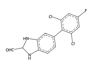 O=CC1Nc2ccc(-c3c(Cl)cc(F)cc3Cl)cc2N1